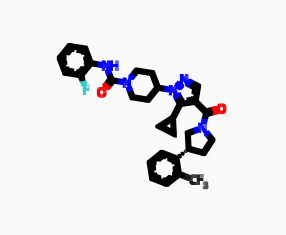 O=C(Nc1ccccc1F)N1CCC(n2ncc(C(=O)N3CC[C@H](c4ccccc4C(F)(F)F)C3)c2C2CC2)CC1